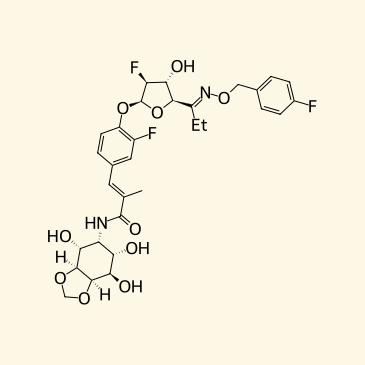 CCC(=NOCc1ccc(F)cc1)[C@H]1O[C@@H](Oc2ccc(C=C(C)C(=O)N[C@@H]3[C@H](O)[C@@H](O)[C@H]4OCO[C@H]4[C@@H]3O)cc2F)[C@@H](F)[C@@H]1O